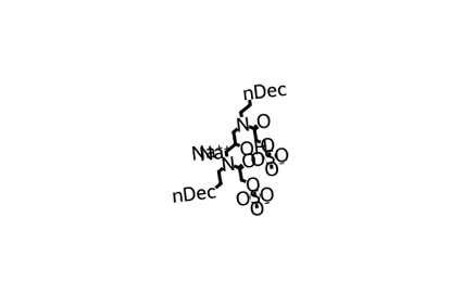 CCCCCCCCCCCCN(CC(O)CN(CCCCCCCCCCCC)C(=O)COS(=O)(=O)[O-])C(=O)COS(=O)(=O)[O-].[Na+].[Na+]